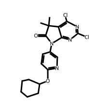 CC1(C)C(=O)N(c2ccc(OC3CCCCC3)nc2)c2nc(Cl)nc(Cl)c21